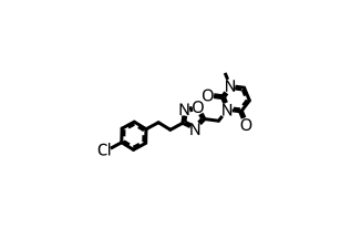 Cn1ccc(=O)n(Cc2nc(CCc3ccc(Cl)cc3)no2)c1=O